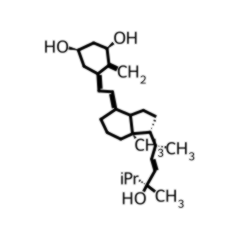 C=C1C(=CC=C2CCC[C@@]3(C)C2CC[C@@H]3[C@H](C)C=C[C@@](C)(O)C(C)C)C[C@@H](O)C[C@H]1O